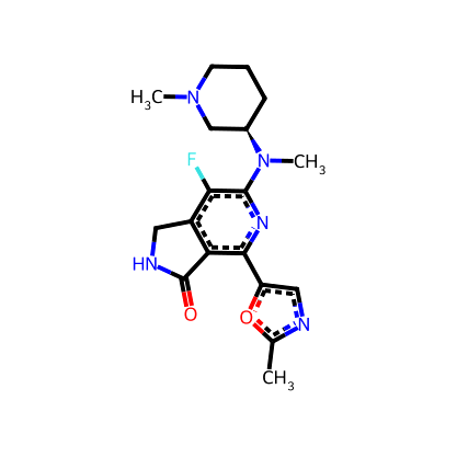 Cc1ncc(-c2nc(N(C)[C@@H]3CCCN(C)C3)c(F)c3c2C(=O)NC3)o1